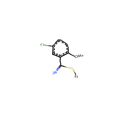 CCSC(=N)c1cc(Cl)ccc1OC